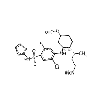 CNCCN(C)[C@H]1CCC(OC=O)C[C@@H]1Nc1cc(F)c(S(=O)(=O)Nc2nccs2)cc1Cl